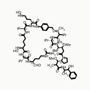 CC[C@H](C)[C@H](C(CC(=O)N1CCC[C@H]1C(OC)C(C)C(=O)NC(C)C(O)c1ccccc1)OC)N(C)C(=O)[C@@H](NC(=O)C(C(C)C)N(C)OCc1ccc(NC(=O)[C@H](CCCNO)NC(=O)[C@@H](NC(=O)CCCC(NO)C(=O)N[C@H](C(=O)N[C@H](C=O)CCCNC(N)=O)C(C)C)C(C)C)cc1)C(C)C